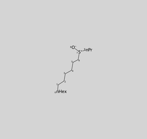 CCCCCCCCCCCC[S+]([O-])CCC